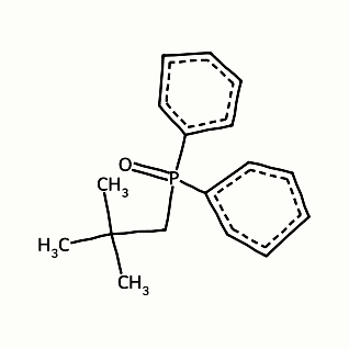 CC(C)(C)CP(=O)(c1ccccc1)c1ccccc1